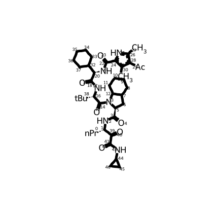 CCC[C@H](NC(=O)[C@@H]1CC2CCCCC2N1C(=O)[C@@H](NC(=O)[C@@H](NC(=O)c1[nH]c(C)c(C(C)=O)c1C)C1CCCCC1)C(C)(C)C)C(=O)C(=O)NC1CC1